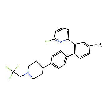 Cc1ccc(-c2ccc(C3CCN(CC(F)(F)F)CC3)cc2)c(-c2cccc(F)n2)c1